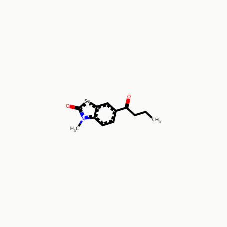 CCCC(=O)c1ccc2c(c1)[se]c(=O)n2C